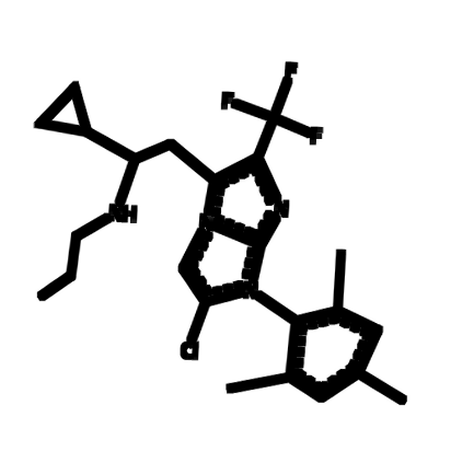 CCCNC(Cc1c(C(F)(F)F)nc2n(-c3c(C)cc(C)cc3C)c(Cl)cn12)C1CC1